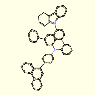 C1=Cc2c(c3ccccc3n2-c2ccc(-c3ccccc3N(c3ccc(-c4cc5ccccc5c5ccccc45)cc3)c3cccc(-c4ccccc4)c3)cc2)CC1